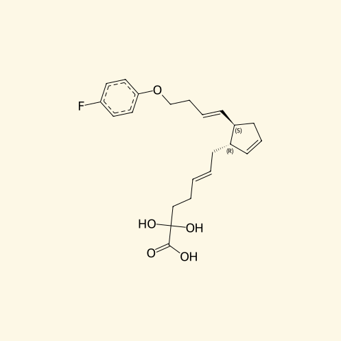 O=C(O)C(O)(O)CCC=CC[C@H]1C=CC[C@@H]1C=CCCOc1ccc(F)cc1